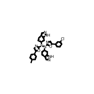 Cc1ccc(-c2cnc(N(c3ccc4cn[nH]c4c3)N(c3ccc4cn[nH]c4c3)c3ncc(-c4cccc(Cl)c4)o3)o2)cc1